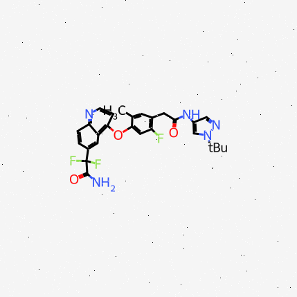 Cc1cc(CC(=O)Nc2cnn(C(C)(C)C)c2)c(F)cc1Oc1ccnc2ccc(C(F)(F)C(N)=O)cc12